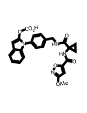 COc1cc(C(=O)NC2(C(=O)NCc3ccc(-n4c(OC(=O)O)cc5ccccc54)cc3)CC2)on1